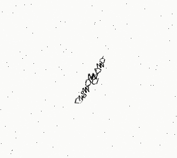 Cc1ccc(N=Nc2ccc(N=Nc3ccc(N=Nc4ccc(N5CCCCC5)s4)cc3Cl)cc2)cc1